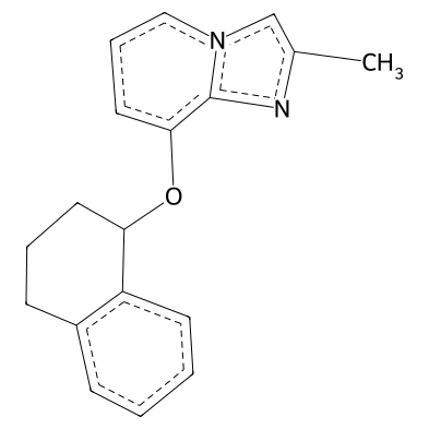 Cc1cn2cccc(OC3CCCc4ccccc43)c2n1